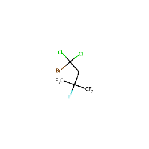 FC(F)(F)C(F)(CC(Cl)(Cl)Br)C(F)(F)F